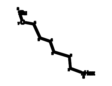 CCCCCCCCCCCCOC(C)(C)C